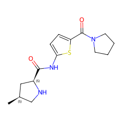 C[C@@H]1CN[C@H](C(=O)Nc2ccc(C(=O)N3CCCC3)s2)C1